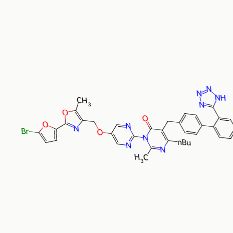 CCCCc1nc(C)n(-c2ncc(OCc3nc(-c4ccc(Br)o4)oc3C)cn2)c(=O)c1Cc1ccc(-c2ccccc2-c2nnn[nH]2)cc1